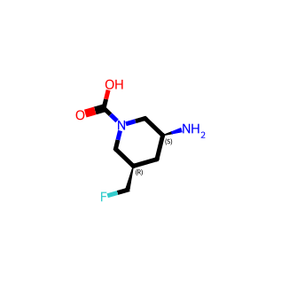 N[C@H]1C[C@@H](CF)CN(C(=O)O)C1